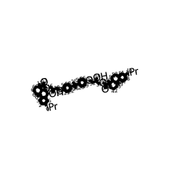 CC(C)c1ccc2c(c1)CCC1C(C)(C(=O)OCC(O)COc3ccc(C(C)(C)c4ccc(OCC(O)COC(=O)C5(C)CCCC6(C)c7ccc(C(C)C)cc7CCC56)cc4)cc3)CCCC21C